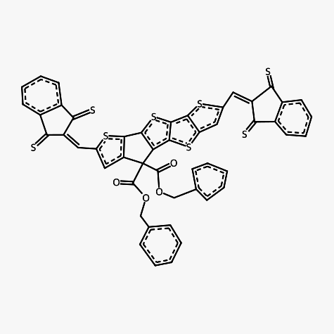 O=C(OCc1ccccc1)C1(C(=O)OCc2ccccc2)c2cc(C=C3C(=S)c4ccccc4C3=S)sc2-c2sc3c(sc4cc(C=C5C(=S)c6ccccc6C5=S)sc43)c21